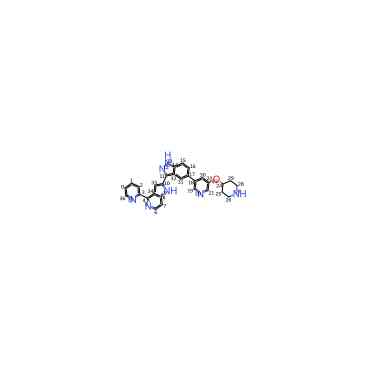 c1ccc(-c2nccc3[nH]c(-c4n[nH]c5ccc(-c6cncc(OC7CCNCC7)c6)cc45)cc23)nc1